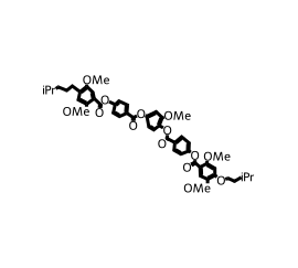 COc1cc(C(=O)Oc2ccc(C(=O)Oc3ccc(OC(=O)c4ccc(OC(=O)c5cc(OC)c(OCCC(C)C)cc5OC)cc4)c(OC)c3)cc2)c(OC)cc1CCCC(C)C